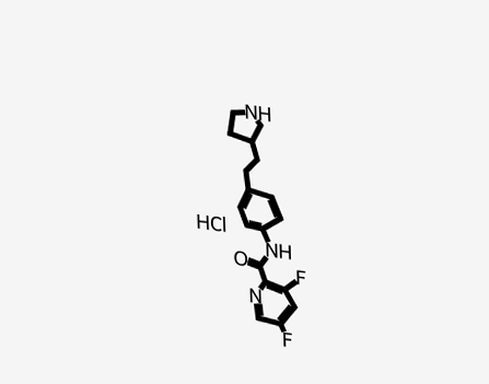 Cl.O=C(Nc1ccc(CCC2CCNC2)cc1)c1ncc(F)cc1F